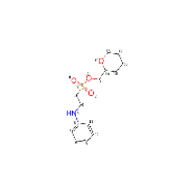 O=S(=O)(CCNc1ccccc1)OCC1CCCCO1